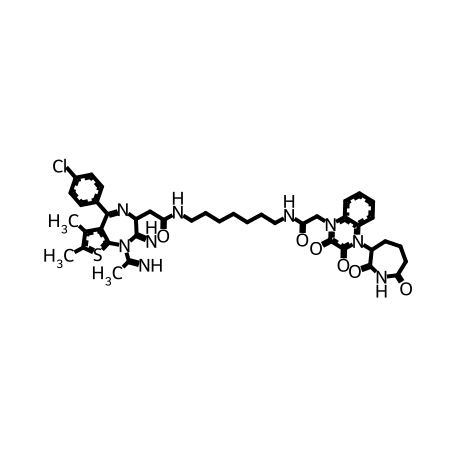 CC(=N)N1C(=N)C(CC(=O)NCCCCCCCNC(=O)Cn2c(=O)c(=O)n(C3CCCC(=O)NC3=O)c3ccccc32)N=C(c2ccc(Cl)cc2)c2c1sc(C)c2C